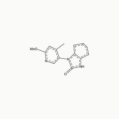 COc1cc(C)c(-n2c(=O)[nH]c3ccccc32)cn1